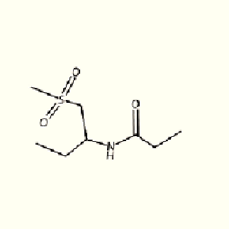 CCC(=O)NC(CC)CS(C)(=O)=O